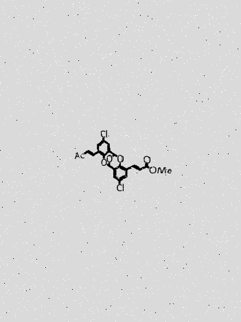 COC(=O)C=Cc1cc(Cl)cc2c1OC1OC2Oc2c(C=CC(C)=O)cc(Cl)cc21